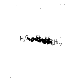 CCCCCc1ccc(CCc2ccc(-c3ccc(-c4ccc(OCC)c(F)c4F)cc3)c(F)c2F)cc1